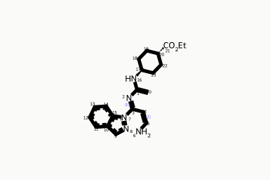 C=C(/N=C(\C=C/N)n1ncc2ccccc21)N[C@H]1CC[C@H](C(=O)OCC)CC1